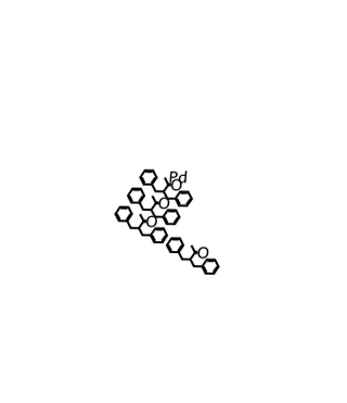 CC(=O)C(Cc1ccccc1)Cc1ccccc1.CC(=O)C(Cc1ccccc1)Cc1ccccc1.CC(=O)C(Cc1ccccc1)Cc1ccccc1.CC(=O)C(Cc1ccccc1)Cc1ccccc1.[Pd]